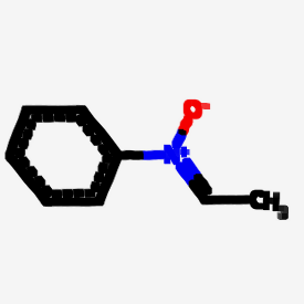 CC=[N+]([O-])c1ccccc1